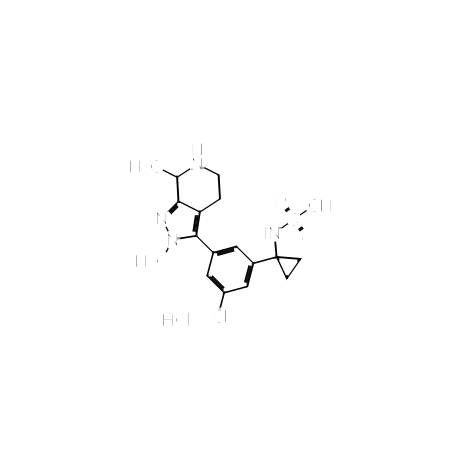 CC1NCCc2c1nn(C)c2-c1cc(Cl)cc(C2(NS(C)(=O)=O)CC2)c1.Cl